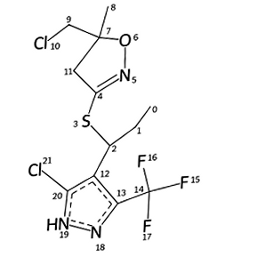 CCC(SC1=NOC(C)(CCl)C1)c1c(C(F)(F)F)n[nH]c1Cl